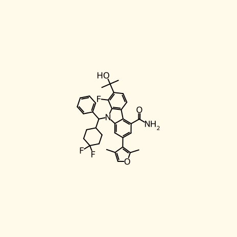 Cc1coc(C)c1-c1cc(C(N)=O)c2c3ccc(C(C)(C)O)c(F)c3n(C(c3ccccc3)C3CCC(F)(F)CC3)c2c1